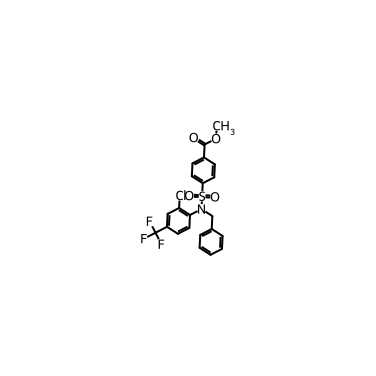 COC(=O)c1ccc(S(=O)(=O)N(Cc2ccccc2)c2ccc(C(F)(F)F)cc2Cl)cc1